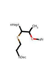 CCCCCCCCCCCCSC(CCCCCCC)C(C)OCCC